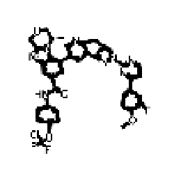 COc1ccc(-c2ccnc(-n3cc4c(n3)-c3cc(-c5cc(C(=O)Nc6ccc(OC(F)(F)Cl)cc6)cc6nc7n(c56)[C@H](C)COC7)cnc3C4)n2)cc1F